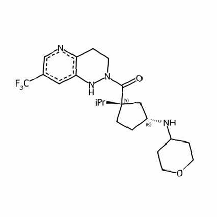 CC(C)[C@]1(C(=O)N2CCc3ncc(C(F)(F)F)cc3N2)CC[C@@H](NC2CCOCC2)C1